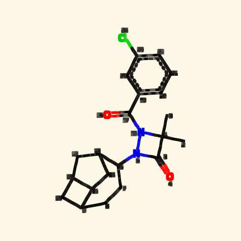 CC1(C)C(=O)N(C2CCC3CC4CC2CC34)N1C(=O)c1cccc(Cl)c1